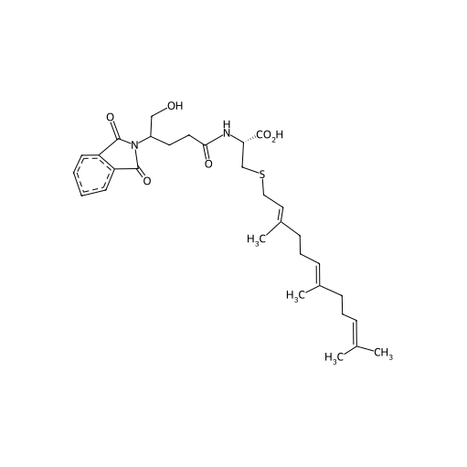 CC(C)=CCC/C(C)=C/CC/C(C)=C/CSC[C@H](NC(=O)CCC(CO)N1C(=O)c2ccccc2C1=O)C(=O)O